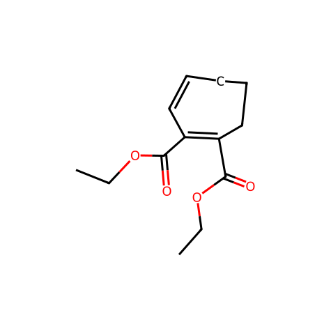 CCOC(=O)C1=C(C(=O)OCC)CCCC=C1